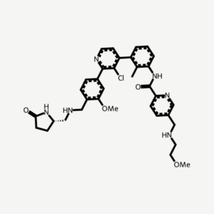 COCCNCc1ccc(C(=O)Nc2cccc(-c3ccnc(-c4ccc(CNC[C@@H]5CCC(=O)N5)c(OC)c4)c3Cl)c2C)nc1